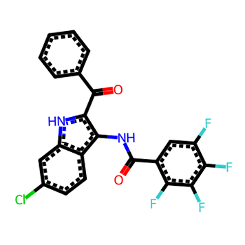 O=C(Nc1c(C(=O)c2ccccc2)[nH]c2cc(Cl)ccc12)c1cc(F)c(F)c(F)c1F